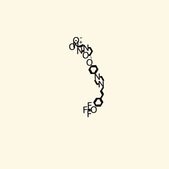 O=[N+]([O-])c1cn2c(n1)O[C@@H](COc1ccc(N3CCN(CC=Cc4ccc(OC(F)(F)F)cc4)CC3)cc1)CC2